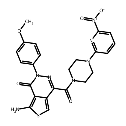 COc1ccc(-n2nc(C(=O)N3CCN(c4cccc([N+](=O)[O-])n4)CC3)c3csc(N)c3c2=O)cc1